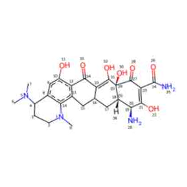 CN1CCC(N(C)C)c2cc(O)c3c(c21)CC1C[C@H]2[C@H](N)C(O)=C(C(N)=O)C(=O)[C@@]2(O)C(O)=C1C3=O